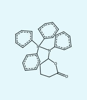 O=C1CCCC(N(c2ccccc2)[Si](c2ccccc2)(c2ccccc2)c2ccccc2)O1